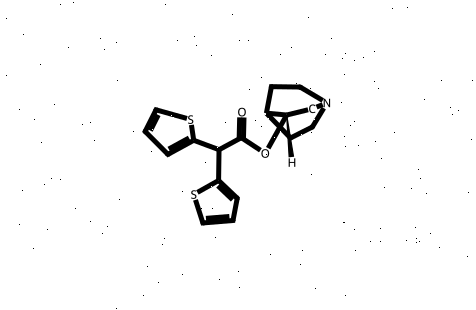 O=C(O[C@H]1CN2CCC1CC2)C(c1cccs1)c1cccs1